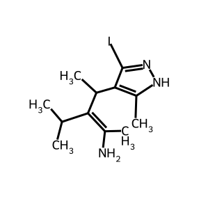 C/C(N)=C(/C(C)C)C(C)c1c(I)n[nH]c1C